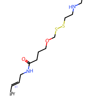 CSCNCCSSCOCCCC(=O)NC/C=C/C(C)C